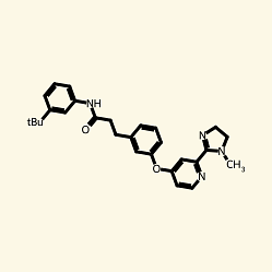 CN1CCN=C1c1cc(Oc2cccc(CCC(=O)Nc3cccc(C(C)(C)C)c3)c2)ccn1